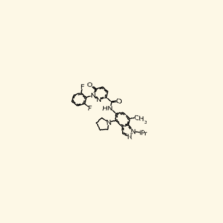 Cc1cc(NC(=O)c2ccc(=O)n(-c3c(F)cccc3F)n2)c(N2CCCC2)c2cnn(C(C)C)c12